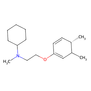 CC1C=C(OCCN(C)C2CCCCC2)C=C[C@@H]1C